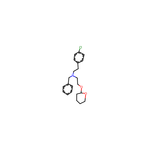 Clc1ccc(CCN(CCOC2CCCCO2)Cc2ccccc2)cc1